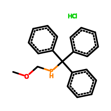 COCPC(c1ccccc1)(c1ccccc1)c1ccccc1.Cl